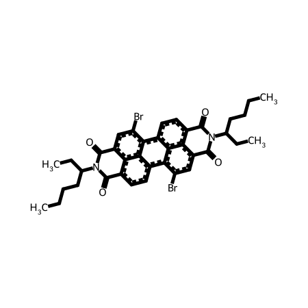 CCCCC(CC)N1C(=O)c2ccc3c4c(Br)cc5c6c(ccc(c7c(Br)cc(c2c37)C1=O)c64)C(=O)N(C(CC)CCCC)C5=O